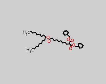 CCCCCCCCC(CCCCCCCC)OC(=O)CCCCCCCCC(C(=O)OCc1ccccc1)C(=O)OCc1ccccc1